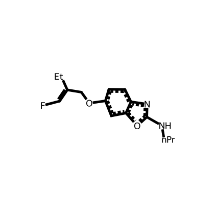 CCCNc1nc2ccc(OCC(=CF)CC)cc2o1